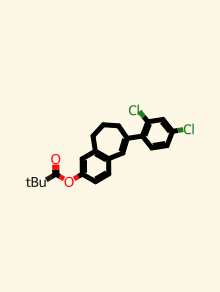 CC(C)(C)C(=O)Oc1ccc2c(c1)CCCC(c1ccc(Cl)cc1Cl)=C2